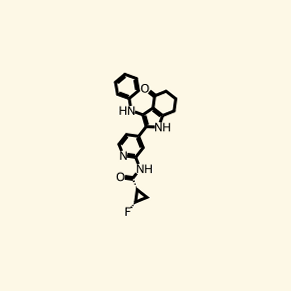 O=C1CCCc2[nH]c(-c3ccnc(NC(=O)[C@@H]4C[C@@H]4F)c3)c(Nc3ccccc3)c21